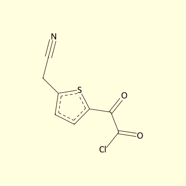 N#CCc1ccc(C(=O)C(=O)Cl)s1